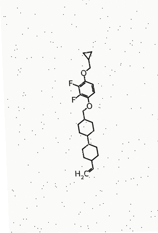 C=CC1CCC(C2CCC(COc3ccc(OCC4CC4)c(F)c3F)CC2)CC1